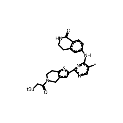 CC(C)(C)CC(=O)N1CCc2sc(-c3ncc(F)c(Nc4ccc5c(c4)CCNC5=O)n3)cc2C1